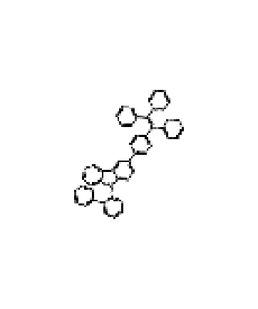 c1ccc(C(=C(c2ccccc2)c2ccc(-c3ccc4c(c3)c3ccccc3n4-c3ccccc3-c3ccccc3)cc2)c2ccccc2)cc1